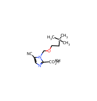 C[Si](C)(C)CCOCn1c(C#N)cnc1C(=O)O.[KH]